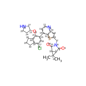 CC1(C)C2C(=O)N(Cc3cc4nccc(-c5cc(Cl)c6c(c5OC5CCNC5)CCC6)c4s3)C(=O)C21